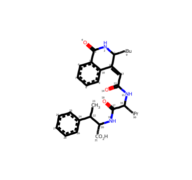 CCC(C)C1NC(=O)c2ccccc2/C1=C\C(=O)NC(C(=O)NC(C(=O)O)C(C)c1ccccc1)C(C)C